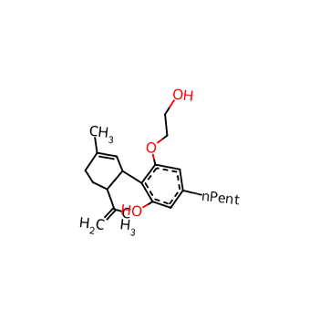 C=C(C)C1CCC(C)=CC1c1c(O)cc(CCCCC)cc1OCCO